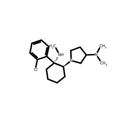 CN[C@@]1(c2ccccc2Cl)CCCC[C@@H]1N1CCC(N(C)C)C1